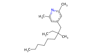 CCCCCCC(C)(CC)Cc1cc(C)nc(C)c1